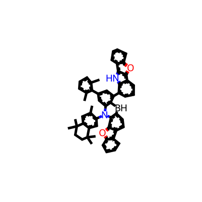 Cc1cc2c(cc1N1c3cc(-c4c(C)cccc4C)cc(-c4cccc5c4[nH]c4c6ccccc6oc54)c3Bc3ccc4c(oc5ccccc54)c31)C(C)(C)CCC2(C)C